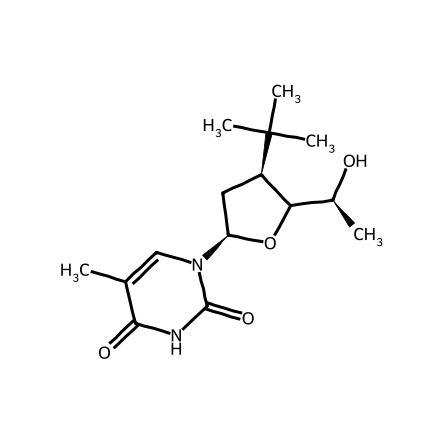 Cc1cn([C@H]2C[C@@H](C(C)(C)C)C([C@H](C)O)O2)c(=O)[nH]c1=O